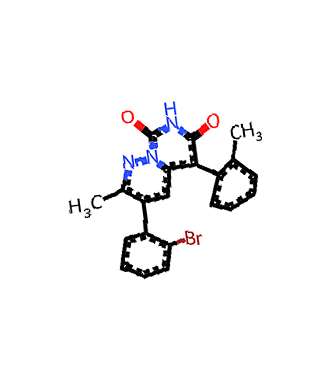 Cc1ccccc1-c1c(=O)[nH]c(=O)n2nc(C)c(-c3ccccc3Br)cc12